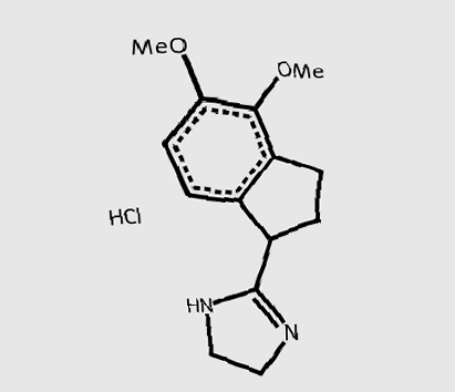 COc1ccc2c(c1OC)CCC2C1=NCCN1.Cl